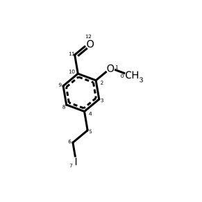 COc1cc(CCI)ccc1C=O